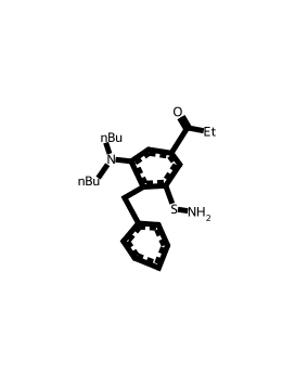 CCCCN(CCCC)c1cc(C(=O)CC)cc(SN)c1Cc1ccccc1